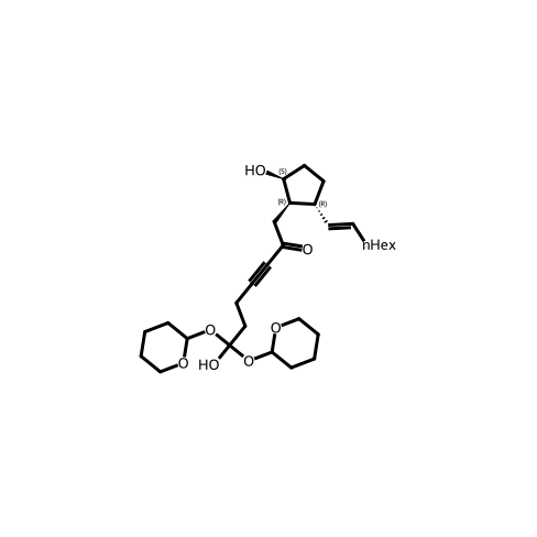 CCCCCCC=C[C@H]1CC[C@H](O)[C@@H]1CC(=O)C#CCCC(O)(OC1CCCCO1)OC1CCCCO1